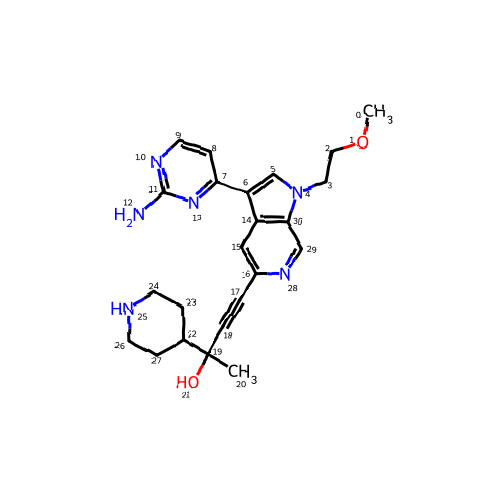 COCCn1cc(-c2ccnc(N)n2)c2cc(C#CC(C)(O)C3CCNCC3)ncc21